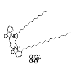 CCCCCCCCCCCCCCCCCCc1cccc2oc(C=CC=C3Nc4ccccc4O3)[n+](CCCCCCCCCCCCCCCCCC)c12.[O-][Cl+3]([O-])([O-])[O-]